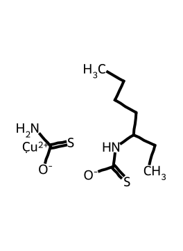 CCCCC(CC)NC([O-])=S.NC([O-])=S.[Cu+2]